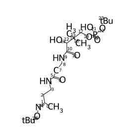 C/C(CCNC(=O)CCNC(=O)C(O)C(C)(C)COP(=O)(O)OC(C)(C)C)=N\OC(C)(C)C